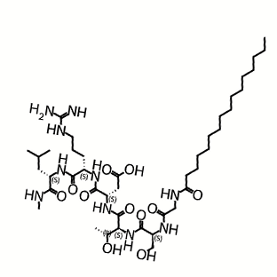 CCCCCCCCCCCCCCCC(=O)NCC(=O)N[C@@H](CO)C(=O)N[C@H](C(=O)N[C@@H](CC(=O)O)C(=O)N[C@@H](CCCNC(=N)N)C(=O)N[C@@H](CC(C)C)C(=O)NC)[C@@H](C)O